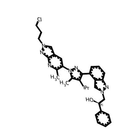 Cc1nc2nn(CCCCl)cc2cc1-n1nc(-c2cccc3nn(C[C@H](O)c4ccccc4)cc23)c(C(C)C)c1C